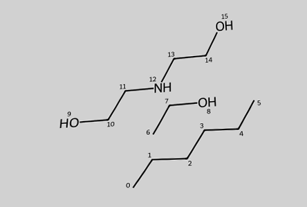 CCCCCC.CCO.OCCNCCO